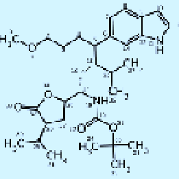 COCCCC(c1ccc2cc[nH]c2c1)[C@@H](C[C@H](NC(=O)OC(C)(C)C)C1C[C@@H](C(C)C)C(=O)O1)C(C)C